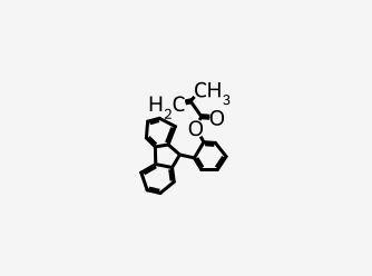 C=C(C)C(=O)Oc1ccccc1C1c2ccccc2-c2ccccc21